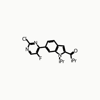 CC(C)C(=O)c1cc2ccc(-c3nc(Cl)ncc3F)cc2n1C(C)C